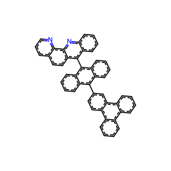 c1cnc2c(c1)ccc1c(-c3c4ccccc4c(-c4ccc5c6ccccc6c6ccccc6c5c4)c4ccccc34)c3ccccc3nc12